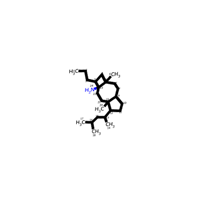 CCCC1CC2(C)CCC3CCC(C(C)CC(C)C)C3(C)CCC12N